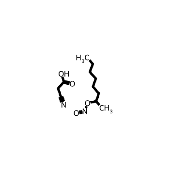 CCCCCCC(C)ON=O.N#CCC(=O)O